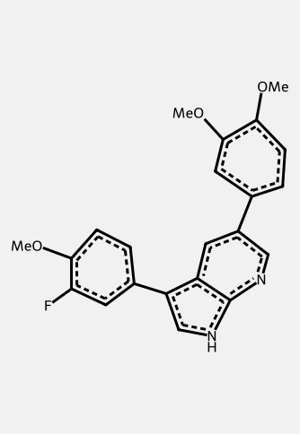 COc1ccc(-c2c[nH]c3ncc(-c4ccc(OC)c(OC)c4)cc23)cc1F